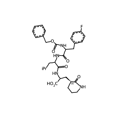 CC(C)CC(NC(=O)C(Cc1ccc(F)cc1)NC(=O)OCc1ccccc1)C(=O)NC(C[C@@H]1CCCNC1=O)C(=O)O